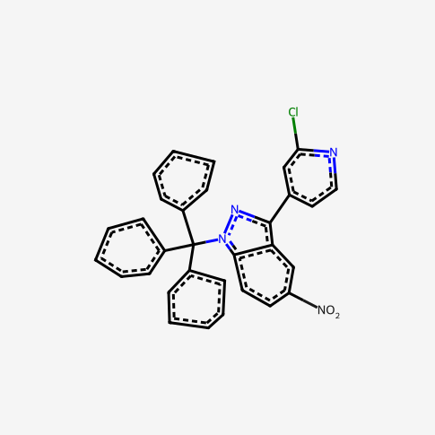 O=[N+]([O-])c1ccc2c(c1)c(-c1ccnc(Cl)c1)nn2C(c1ccccc1)(c1ccccc1)c1ccccc1